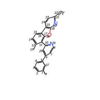 Cc1cccc(-c2ccnc(-c3c(C)ccc4c3oc3nc(C(C)C)ccc34)c2)c1